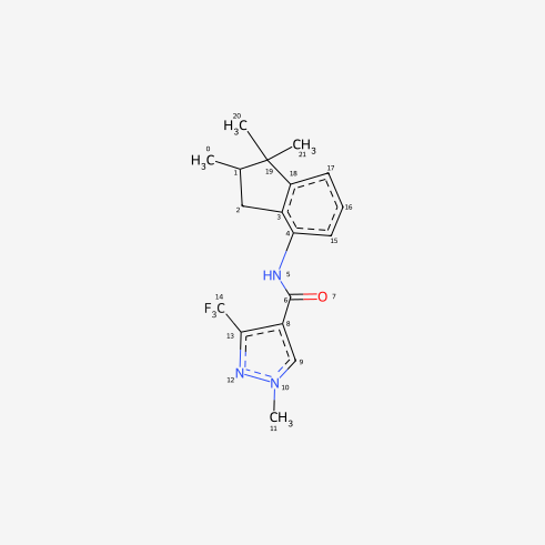 CC1Cc2c(NC(=O)c3cn(C)nc3C(F)(F)F)cccc2C1(C)C